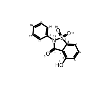 O=C1c2c(O)cccc2S(=O)(=O)N1c1ccccc1